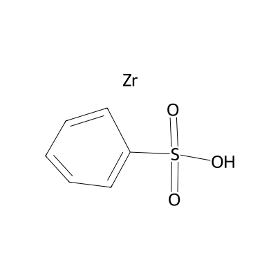 O=S(=O)(O)c1ccccc1.[Zr]